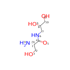 N[C@@H](CO)C(=O)NCC(O)CO